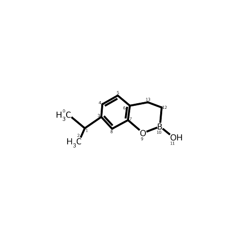 CC(C)c1ccc2c(c1)OB(O)CC2